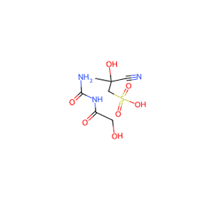 CC(O)(C#N)CS(=O)(=O)O.NC(=O)NC(=O)CO